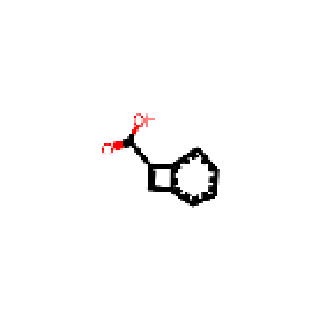 O=C(O)C1=Cc2ccccc21